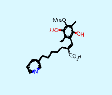 COc1c(C)c(O)c(/C=C(\CCCCCc2cccnc2)C(=O)O)c(C)c1O